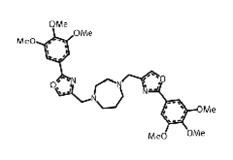 COc1cc(-c2nc(CN3CCCN(Cc4coc(-c5cc(OC)c(OC)c(OC)c5)n4)CC3)co2)cc(OC)c1OC